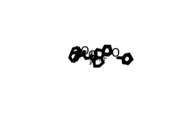 C[C@@]1(C(=O)CC(=O)C23CC4CC(CC(C4)C2)C3)CCC[C@]2(C)c3cc(OCc4ccccc4)ccc3CC[C@@H]12